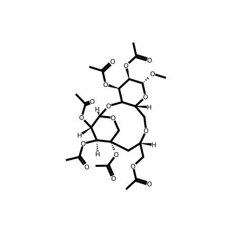 CO[C@@H]1O[C@@H]2CO[C@H](COC(C)=O)C[C@]3(OC(C)=O)CO[C@H](OC2[C@@H](OC(C)=O)[C@H]1OC(C)=O)[C@@H](OC(C)=O)[C@@H]3OC(C)=O